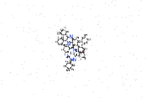 c1ccc(-c2cc(-c3ccccc3-c3nc4ccccc4c4c(-c5ccccc5)cc5nc(-c6ccccc6)c(-c6ccccc6)nc5c34)nc(-c3ccccc3)n2)cc1